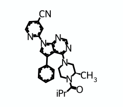 CC(C)C(=O)N1CCN(c2ncnc3c2c(-c2ccccc2)cn3-c2cc(C#N)ccn2)C[C@H]1C